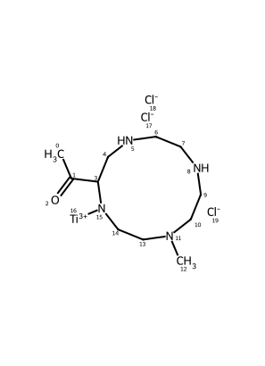 CC(=O)C1CNCCNCCN(C)CC[N]1[Ti+3].[Cl-].[Cl-].[Cl-]